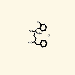 CCCC[P+](CCCC)(CCC(C)Cc1ccccc1)Oc1ccccc1Cl.[Cl-]